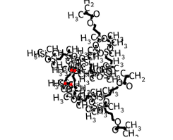 C=C(C)C(=O)OCCC[Si]1(C)O[Si](C)(C)O[Si](C)(CC[Si](C)(C)O[Si](C)(C)O[Si](C)(C)CC[Si](C)(C)O[Si](O[Si](C)(C)CC[Si](C)(C)C)(O[Si](C)(C)CC[Si](C)(C)O[SiH](C)C)O[Si](C)(C)CC[Si](C)(C)O[Si](C)(C)O[Si](C)(C)CC[Si]2(C)O[Si](C)(C)O[Si](C)(CCCOC(=O)C(=C)C)O[Si](C)(CCCOC(=O)C(=C)C)O2)O[Si](C)(CC)O1